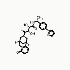 C[C@@H](NC(=O)[C@H](O)[C@@H](O)C(=O)N1C[C@@H]2C[C@@H](C1)c1cccc(=O)n1C2)c1ccc(-n2cccn2)cc1